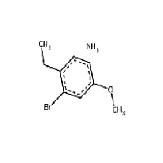 CCc1ccc(OC)cc1Br.N